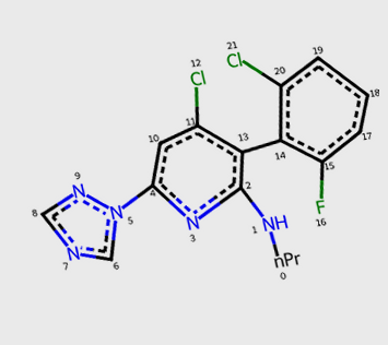 CCCNc1nc(-n2cncn2)cc(Cl)c1-c1c(F)cccc1Cl